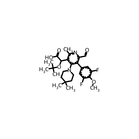 COc1c(F)cc(-c2c(C=O)nc(C)c(C(OC(C)(C)C)C(=O)O)c2N2CCC(C)(C)CC2)cc1F